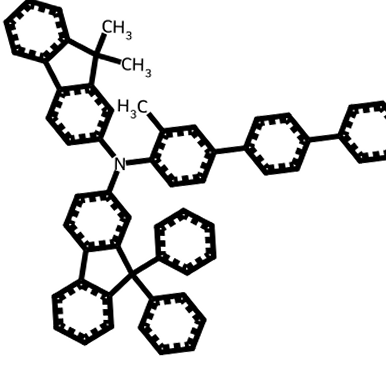 Cc1cc(-c2ccc(-c3ccccc3)cc2)ccc1N(c1ccc2c(c1)C(C)(C)c1ccccc1-2)c1ccc2c(c1)C(c1ccccc1)(c1ccccc1)c1ccccc1-2